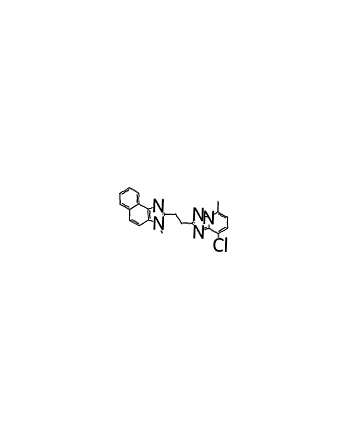 Cc1ccc(Cl)c2nc(CCc3nc4c5ccccc5ccc4n3C)nn12